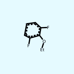 CCOc1c(F)c[c]cc1F